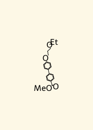 CCOCCCOc1ccc(-c2ccc(C(=O)OC)cc2)cc1